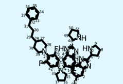 Fc1cc2nc(C3CCCN3)[nH]c2cc1[C@@H]1CCC[N@+]1(c1cc(F)c(N2CCC(CCCc3ccccc3)CC2)c(F)c1)c1cc2[nH]c([C@@H]3CCCN3)nc2cc1F